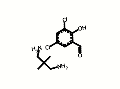 CC(C)(CN)CN.O=Cc1cc(Cl)cc(Cl)c1O